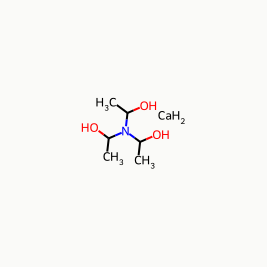 CC(O)N(C(C)O)C(C)O.[CaH2]